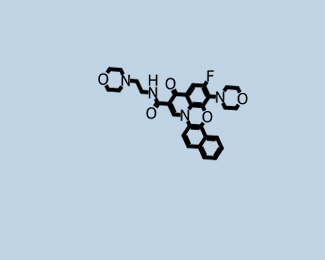 O=C(NCCN1CCOCC1)c1cn2c3c(c(N4CCOCC4)c(F)cc3c1=O)Oc1c-2ccc2ccccc12